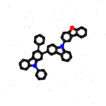 c1ccc(-c2cc3c4ccccc4n(-c4ccccc4)c3cc2-c2ccc3c(c2)c2ccccc2n3-c2ccc3oc4ccccc4c3c2)cc1